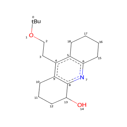 CC(C)(C)OCCc1c2c(nc3c1CCCC3O)CCCC2